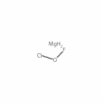 FOCl.[MgH2]